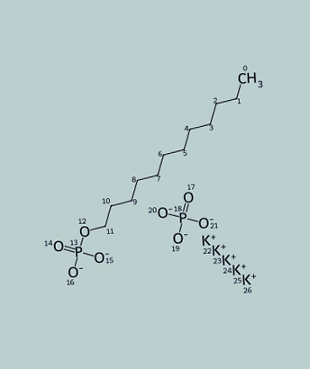 CCCCCCCCCCCCOP(=O)([O-])[O-].O=P([O-])([O-])[O-].[K+].[K+].[K+].[K+].[K+]